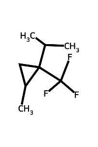 CC(C)C1(C(F)(F)F)CC1C